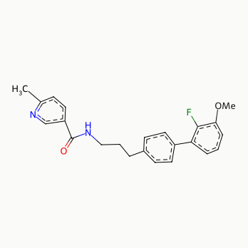 COc1cccc(-c2ccc(CCCNC(=O)c3ccc(C)nc3)cc2)c1F